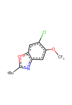 CC(C)(C)c1nc2cc(OC(F)(F)F)c(Cl)cc2o1